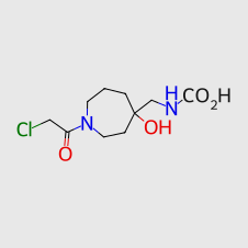 O=C(O)NCC1(O)CCCN(C(=O)CCl)CC1